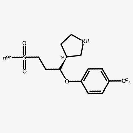 CCCS(=O)(=O)CCC(Oc1ccc(C(F)(F)F)cc1)[C@H]1CCNC1